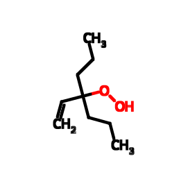 C=CC(CCC)(CCC)OO